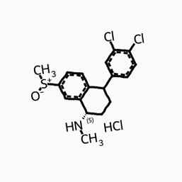 CN[C@H]1CCC(c2ccc(Cl)c(Cl)c2)c2ccc([S+](C)[O-])cc21.Cl